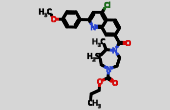 CCCOC(=O)N1CCN(C(=O)c2ccc3c(Cl)cc(-c4ccc(OC)cc4)nc3c2)C(C)[SiH2]C1